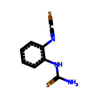 NC(=S)Nc1ccccc1N=C=S